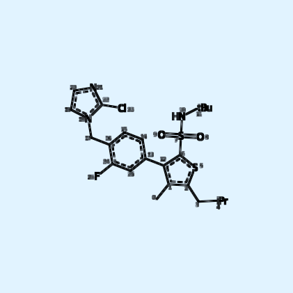 Cc1c(CC(C)C)sc(S(=O)(=O)NC(C)(C)C)c1-c1ccc(Cn2ccnc2Cl)c(F)c1